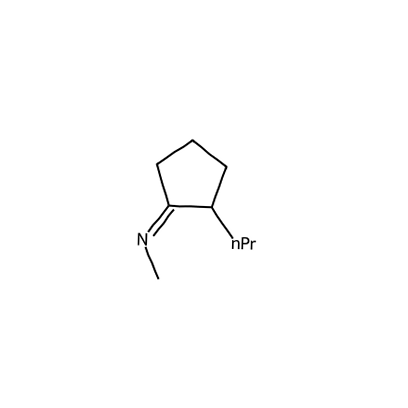 CCCC1CCC/C1=N/C